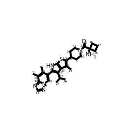 Cc1c(-c2[nH]c3sc(C4CCN(C(=O)C5(N)CCC5)CC4)c(C)c3c2C(C)C)cn2ncnc2c1C